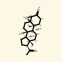 CC(=O)[C@H]1CC[C@H]2[C@@H]3CCC45OC4C(=O)CC[C@]5(C)[C@H]3CC[C@]12C